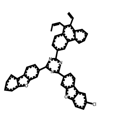 C=Cc1c(/C=C\C)c2ccc(-c3nc(-c4ccc5c(c4)oc4ccccc45)nc(-c4ccc5c(c4)oc4ccc(Cl)cc45)n3)cc2c2ccccc12